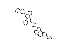 N#Cc1ccc2c(c1)Oc1cccc3c(-c4ccc(-c5cc6c7ccccc7c(-c7ccc8ccccc8c7)cc6c6ccccc56)cc4)ccc-2c13